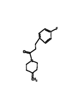 C=C1CCN(C(=O)CCc2ccc(F)cc2)CC1